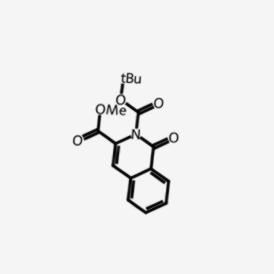 COC(=O)c1cc2ccccc2c(=O)n1C(=O)OC(C)(C)C